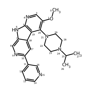 COc1cnc2[nH]c3cnc(-c4cccnc4)cc3c2c1N1CCN(C(C)C)CC1